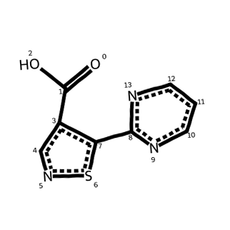 O=C(O)c1cnsc1-c1ncccn1